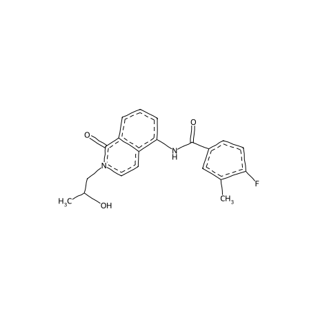 Cc1cc(C(=O)Nc2cccc3c(=O)n(CC(C)O)ccc23)ccc1F